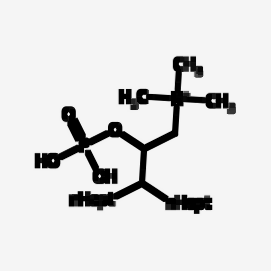 CCCCCCCC(CCCCCCC)C(C[N+](C)(C)C)OP(=O)(O)O